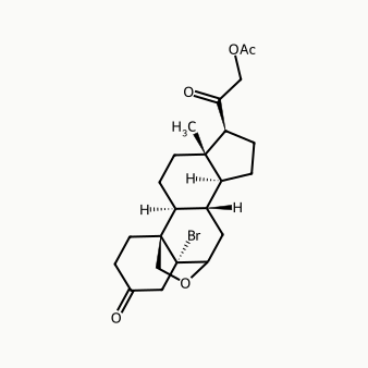 CC(=O)OCC(=O)[C@H]1CC[C@H]2[C@@H]3CC4OC[C@@]5(CCC(=O)C[C@]45Br)[C@H]3CC[C@]12C